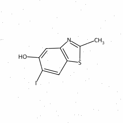 Cc1nc2cc(O)c(I)cc2s1